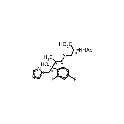 CC(=O)N[C@@H](CSS[C@H](C)[C@](O)(Cn1cncn1)c1ccc(F)cc1F)C(=O)O